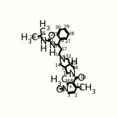 Cc1cc[n+]([O-])c(C)c1C(=O)N1CC2CN(CCC(NC(=O)NC(C)C)c3ccccc3)C[C@H]2C1